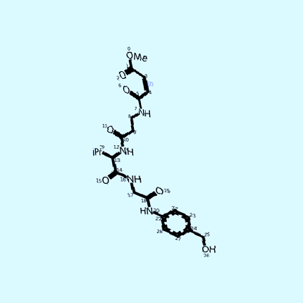 COC(=O)/C=C\C(=O)NCCC(=O)NC(C(=O)NCC(=O)Nc1ccc(CO)cc1)C(C)C